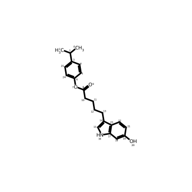 CC(C)c1ccc(OC(=O)CCCCc2c[nH]c3cc(O)ccc23)cc1